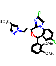 CCOC(=O)c1cnn(CC[C@H]2O[C@H](c3cccc(OC)c3OC)c3cc(Cl)ccc3-n3cc(Cl)nc32)c1